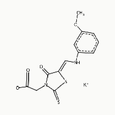 COc1cccc(NC=C2SC(=S)N(CC(=O)[O-])C2=O)c1.[K+]